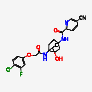 N#Cc1ccc(C(=O)NC23CCC(NC(=O)COc4ccc(Cl)c(F)c4)(CC2)C(O)C3)nc1